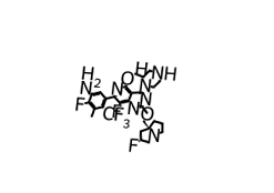 Cc1c(F)c(N)cc(-c2nc3c4c(nc(OC[C@@]56CCCN5C[C@H](F)C6)nc4c2F)N2CCNC[C@H]2CO3)c1C(F)(F)F